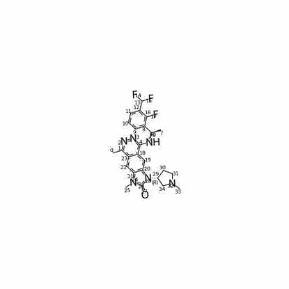 Cc1nnc(N[C@H](C)c2cccc(C(F)F)c2F)c2cc3c(cc12)n(C)c(=O)n3[C@@H]1CCN(C)C1